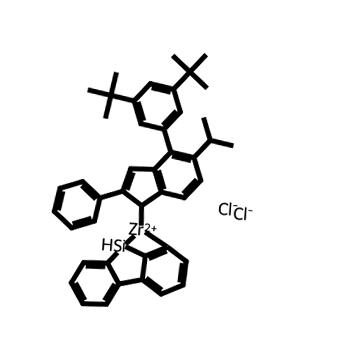 CC(C)c1ccc2c(c1-c1cc(C(C)(C)C)cc(C(C)(C)C)c1)C=C(c1ccccc1)[CH]2[Zr+2]1[c]2cccc3c2[SiH]1c1ccccc1-3.[Cl-].[Cl-]